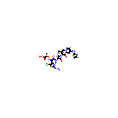 C[C@H](O/N=C(\C(=O)NC1C(=O)N2C(C=O)=C(C[n+]3ccc(Nc4nccs4)cc3)CSC12)c1nc(N)sc1Cl)C(=O)O